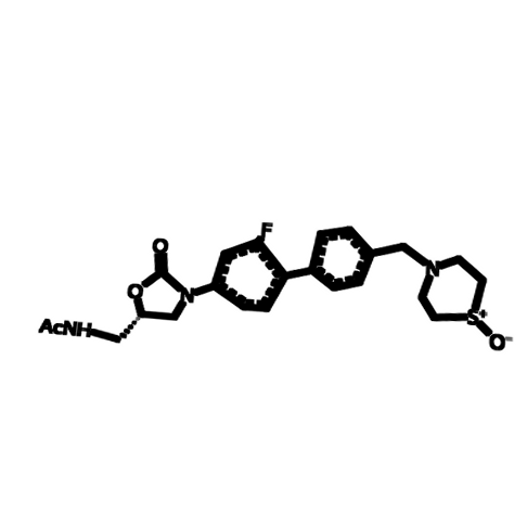 CC(=O)NC[C@H]1CN(c2ccc(-c3ccc(CN4CC[S+]([O-])CC4)cc3)c(F)c2)C(=O)O1